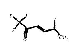 CC(I)/C=C/C(=O)C(F)(F)F